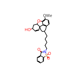 COc1ccc2c3c1OC1CC(O)C=CC31CCC(CCCCCN1C(=O)c3ccccc3S1(=O)=O)C2